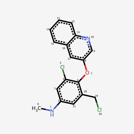 CNc1cc(Cl)c(Oc2cnc3ccccc3c2)c(CCl)c1